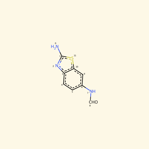 Nc1nc2ccc(NC=O)cc2s1